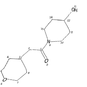 O=C(CC1CCOCC1)N1CCC(O)CC1